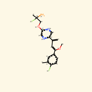 C=C(/C=C(\OC)c1ccc(F)c(C)c1)c1cnc(OCC(C)(F)P)cn1